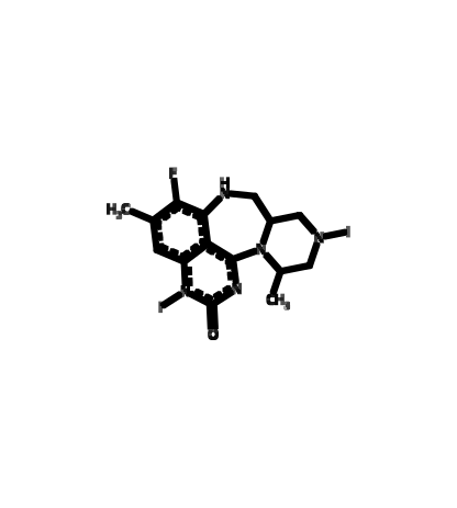 Cc1cc2c3c(nc(=O)n2I)N2C(C)CN(I)CC2CNc3c1F